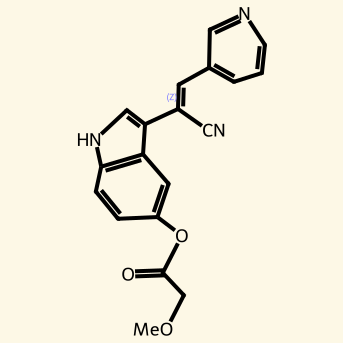 COCC(=O)Oc1ccc2[nH]cc(/C(C#N)=C/c3cccnc3)c2c1